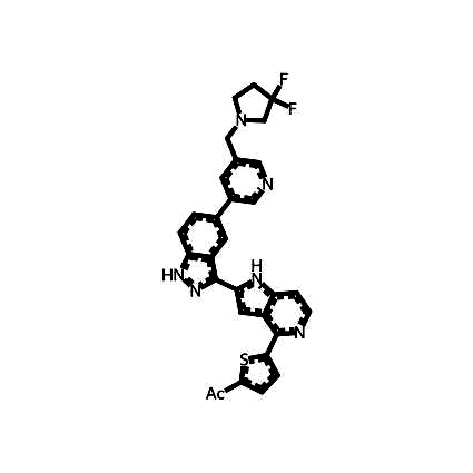 CC(=O)c1ccc(-c2nccc3[nH]c(-c4n[nH]c5ccc(-c6cncc(CN7CCC(F)(F)C7)c6)cc45)cc23)s1